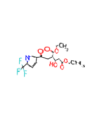 CCOC(=O)CC(O)C(CC(=O)c1ccc(C(F)(F)F)nc1)C(=O)OCC